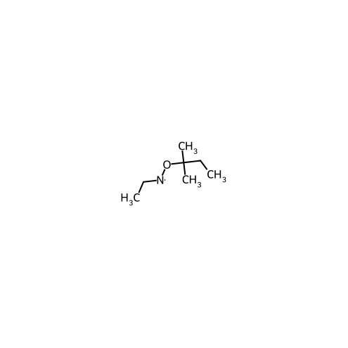 CC[N]OC(C)(C)CC